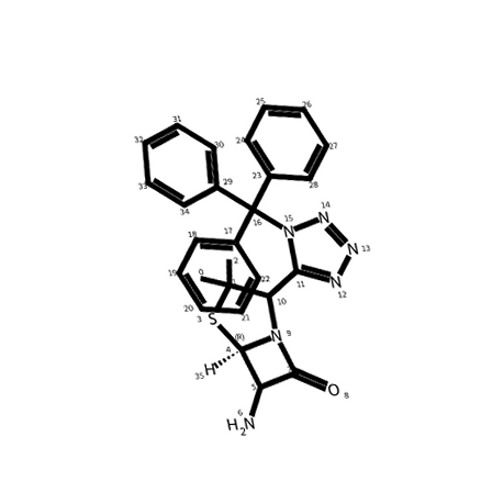 CC1(C)S[C@@H]2C(N)C(=O)N2C1c1nnnn1C(c1ccccc1)(c1ccccc1)c1ccccc1